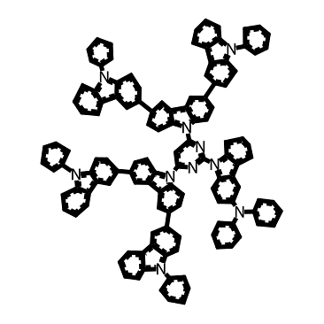 c1ccc(N(c2ccccc2)c2ccc3c(c2)c2ccccc2n3-c2nc(-n3c4ccc(-c5ccc6c(c5)c5ccccc5n6-c5ccccc5)cc4c4cc(-c5ccc6c(c5)c5ccccc5n6-c5ccccc5)ccc43)cc(-n3c4ccc(-c5ccc6c(c5)c5ccccc5n6-c5ccccc5)cc4c4cc(-c5ccc6c(c5)c5ccccc5n6-c5ccccc5)ccc43)n2)cc1